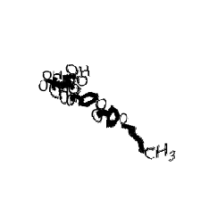 CCCCCCOc1ccc(C(=O)Oc2ccc(C(=O)OC(CC(=O)O)C(O)C(C)(C)C(=O)O)cc2)cc1